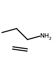 C=C.CCCN